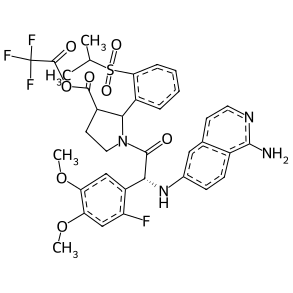 COc1cc(F)c([C@@H](Nc2ccc3c(N)nccc3c2)C(=O)N2CCC(C(=O)OC(=O)C(F)(F)F)C2c2ccccc2S(=O)(=O)C(C)C)cc1OC